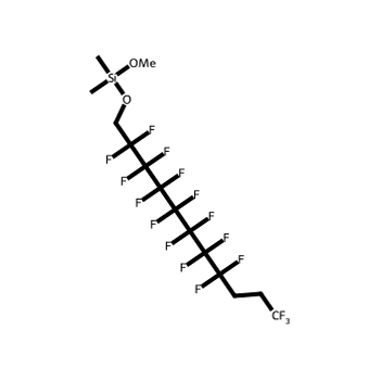 CO[Si](C)(C)OCC(F)(F)C(F)(F)C(F)(F)C(F)(F)C(F)(F)C(F)(F)C(F)(F)CCC(F)(F)F